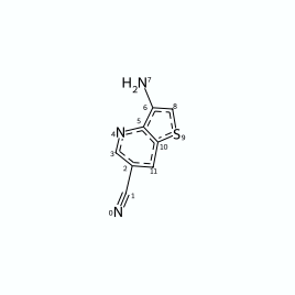 N#Cc1cnc2c(N)csc2c1